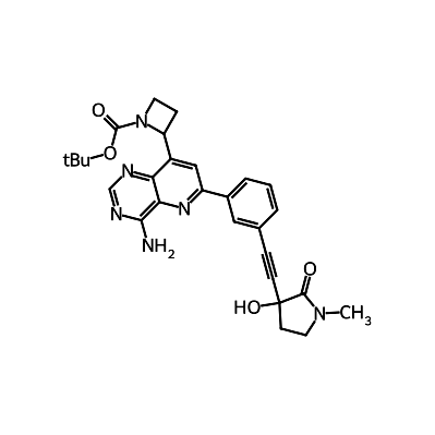 CN1CCC(O)(C#Cc2cccc(-c3cc(C4CCN4C(=O)OC(C)(C)C)c4ncnc(N)c4n3)c2)C1=O